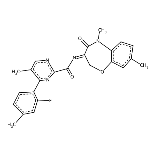 Cc1ccc(-c2nc(C(=O)/N=C3\COc4cc(C)ccc4N(C)C3=O)ncc2C)c(F)c1